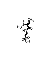 C/C=C(\NC)C(=O)NCCS(=O)(=O)O